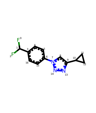 FC(F)c1ccc(-n2cc(C3CC3)nn2)cc1